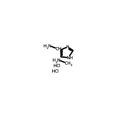 CN.CN.Cl.Cl.c1c[nH]cn1